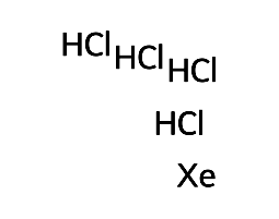 Cl.Cl.Cl.Cl.[Xe]